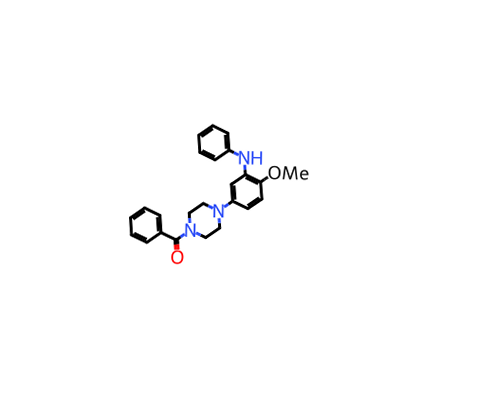 COc1ccc(N2CCN(C(=O)c3ccccc3)CC2)cc1Nc1ccccc1